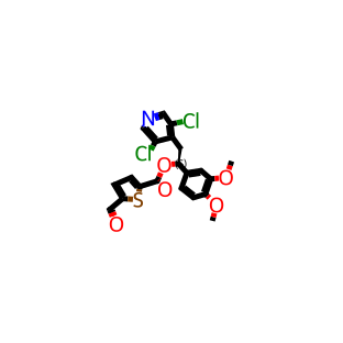 COc1ccc([C@H](Cc2c(Cl)cncc2Cl)OC(=O)c2ccc(C=O)s2)cc1OC